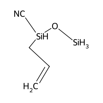 C=CC[SiH](C#N)O[SiH3]